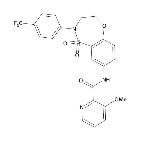 COc1cccnc1C(=O)Nc1ccc2c(c1)S(=O)(=O)N(c1ccc(C(F)(F)F)cc1)CCO2